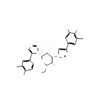 OC[C@H]1O[C@@H](n2nncc2-c2ccc(Cl)c(Cl)c2)[C@H](O)[C@@H](n2cc(-c3cc(F)c(F)c(F)c3)nn2)[C@H]1O